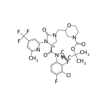 Cc1cc(C(F)(F)F)cc(N2C(=O)N(CC3CN(C(=O)OC(C)(C)C)CCO3)C[C@H]2C(=O)N(C)c2ccc(F)c(Cl)c2F)n1